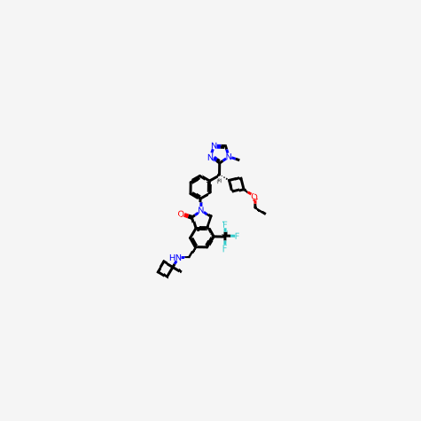 CCOC1CC([C@H](c2cccc(N3Cc4c(cc(CNC5(C)CCC5)cc4C(F)(F)F)C3=O)c2)c2nncn2C)C1